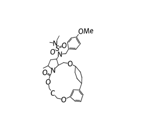 COc1ccc(CN(C2CC(C)N3C(=O)OCCCOc4cccc(c4)C4CCC(CC4)OCC23)S(=O)(=O)N(C)C)cc1